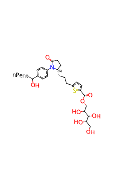 CCCCCC(O)c1ccc(N2C(=O)CC[C@@H]2CCCc2ccc(C(=O)OCC(O)C(O)C(O)CO)s2)cc1